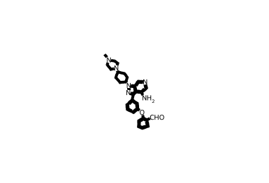 CN1CCN(C2CCC(n3nc(-c4cccc(Oc5ccccc5C=O)c4)c4c(N)cncc43)CC2)CC1